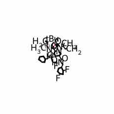 C=CC(C)N(C(=O)OC(C)(C)C)n1cc(C(=O)NCc2c(F)cc(F)cc2F)c(=O)c(OCc2ccccc2)c1C(=O)N[C@@H](C)C=C